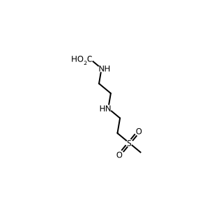 CS(=O)(=O)CCNCCNC(=O)O